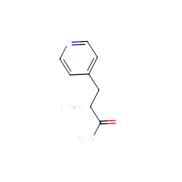 CNC(=O)[C@H](N)Cc1ccncc1